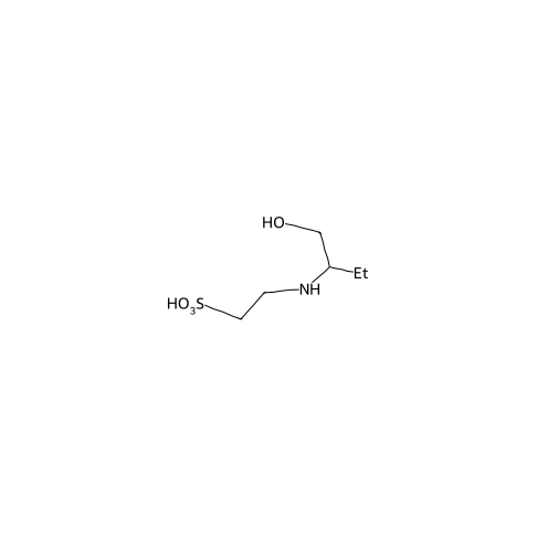 CCC(CO)NCCS(=O)(=O)O